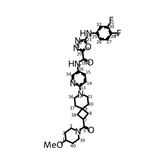 COC1CCN(C(=O)C2CC3(CCN(c4ccc(NC(=O)c5nnc(Nc6ccc(F)c(F)c6)o5)cn4)CC3)C2)CC1